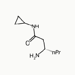 CCC[C@H](N)CC(=O)NC1CC1